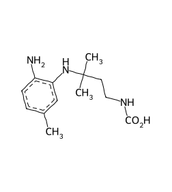 Cc1ccc(N)c(NC(C)(C)CCNC(=O)O)c1